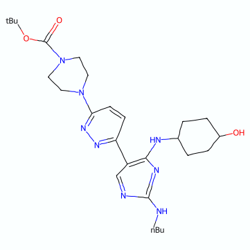 CCCCNc1ncc(-c2ccc(N3CCN(C(=O)OC(C)(C)C)CC3)nn2)c(NC2CCC(O)CC2)n1